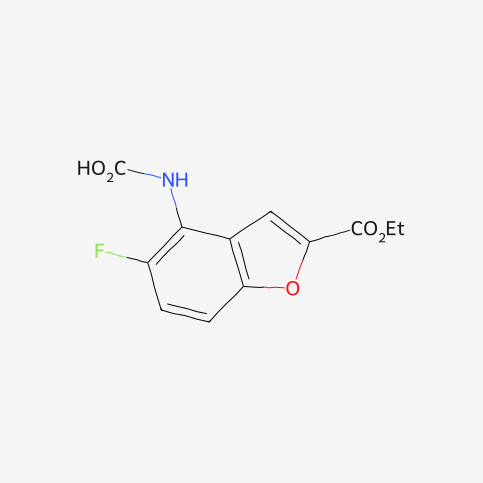 CCOC(=O)c1cc2c(NC(=O)O)c(F)ccc2o1